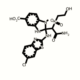 CN1c2ccc(C(=O)O)cc2NC1(Nc1nc2ccc(Cl)cc2s1)C(C(N)=O)S(=O)(=O)CCO